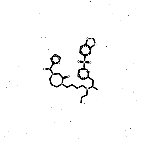 CCCN(CCCCN1CCCN(C(=O)c2cccs2)CC1=O)C(C)Cc1cccc(S(=O)(=O)c2ccc3c(c2)OCO3)c1